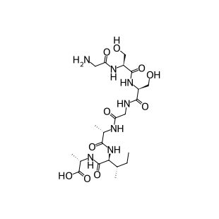 CC[C@H](C)[C@H](NC(=O)[C@H](C)NC(=O)CNC(=O)[C@H](CO)NC(=O)[C@H](CO)NC(=O)CN)C(=O)N[C@@H](C)C(=O)O